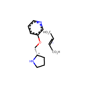 O=C(O)/C=C/C(=O)O.c1cncc(OC[C@@H]2CCCN2)c1